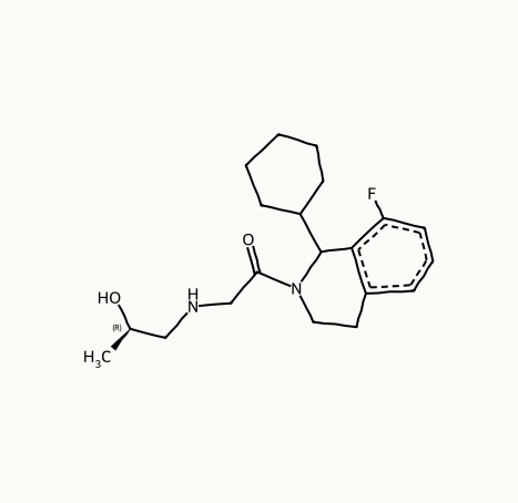 C[C@@H](O)CNCC(=O)N1CCc2cccc(F)c2C1C1CCCCC1